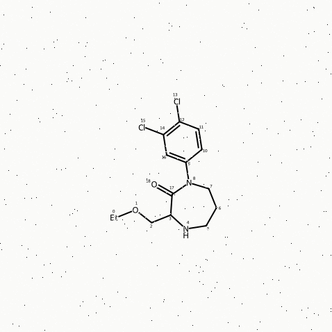 CCOCC1NCCCN(c2ccc(Cl)c(Cl)c2)C1=O